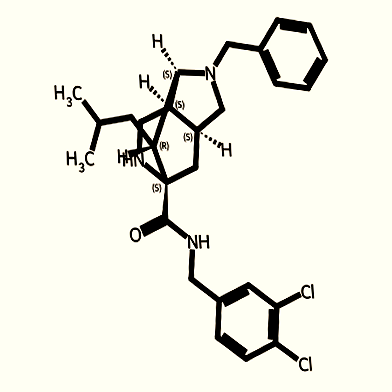 CC(C)C[C@@H]1[C@@H]2[C@@H]3CN[C@@]1(C(=O)NCc1ccc(Cl)c(Cl)c1)C[C@@H]3CN2Cc1ccccc1